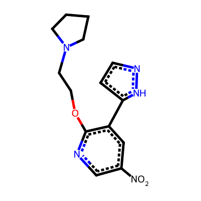 O=[N+]([O-])c1cnc(OCCN2CCCC2)c(-c2ccn[nH]2)c1